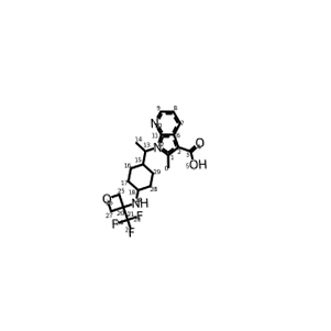 Cc1c(C(=O)O)c2cccnc2n1C(C)C1CCC(NC2(C(F)(F)F)COC2)CC1